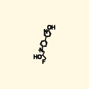 CN(CC(O)CF)c1ccc(-c2ccc(O)nc2)cc1